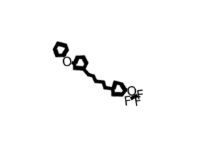 FC(F)(F)Oc1ccc(CCCCCc2cccc(Oc3ccccc3)c2)cc1